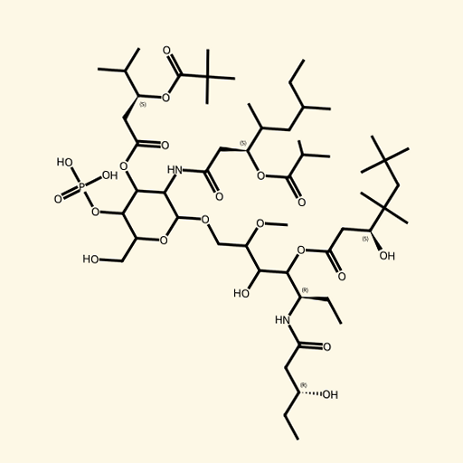 CCC(C)CC(C)[C@H](CC(=O)NC1C(OCC(OC)C(O)C(OC(=O)C[C@H](O)C(C)(C)CC(C)(C)C)[C@@H](CC)NC(=O)C[C@H](O)CC)OC(CO)C(OP(=O)(O)O)C1OC(=O)C[C@H](OC(=O)C(C)(C)C)C(C)C)OC(=O)C(C)C